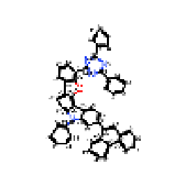 c1ccc(-c2nc(-c3ccccc3)nc(-c3cccc4c3oc3c4ccc4c3c3ccc(-c5cc6ccccc6c6ccccc56)cc3n4-c3ccccc3)n2)cc1